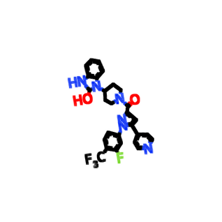 O=C(c1cc(-c2ccncc2)n(-c2ccc(C(F)(F)F)c(F)c2)n1)N1CCC(N2c3ccccc3NC2O)CC1